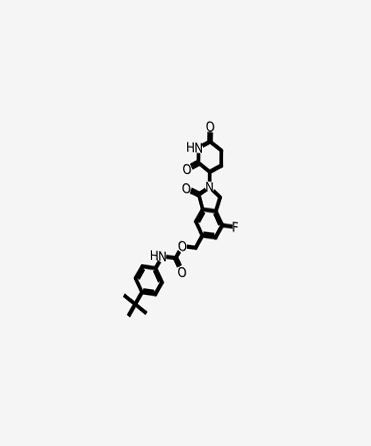 CC(C)(C)c1ccc(NC(=O)OCc2cc(F)c3c(c2)C(=O)N(C2CCC(=O)NC2=O)C3)cc1